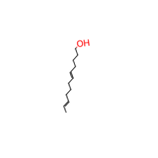 CC=CCCCC=CCCCCO